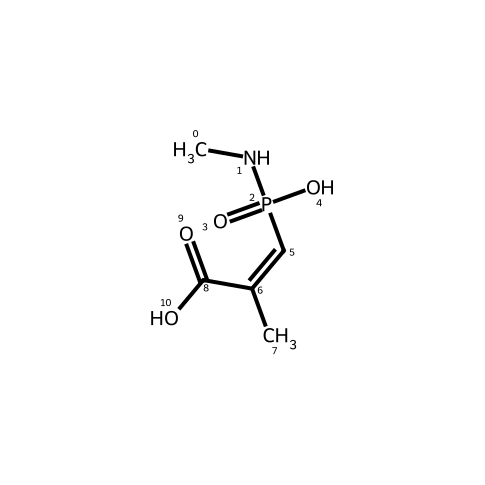 CNP(=O)(O)C=C(C)C(=O)O